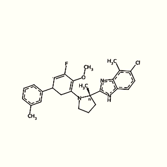 COC1=C(N2CCC[C@@]2(C)c2nc3c(C)c(Cl)ccc3[nH]2)CC(c2cccc(C)c2)[C]=C1F